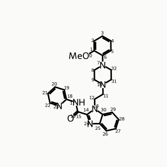 COc1ccccc1N1CCN(CCn2c(C(=O)Nc3ccccn3)nc3ccccc32)CC1